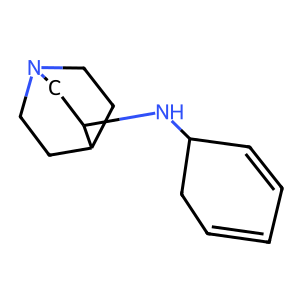 C1=CCC(NC2CN3CCC2CC3)C=C1